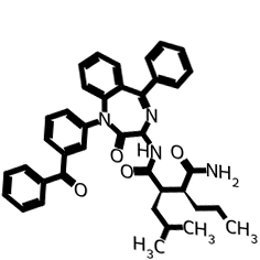 CCC[C@H](C(N)=O)[C@@H](CC(C)C)C(=O)NC1N=C(c2ccccc2)c2ccccc2N(c2cccc(C(=O)c3ccccc3)c2)C1=O